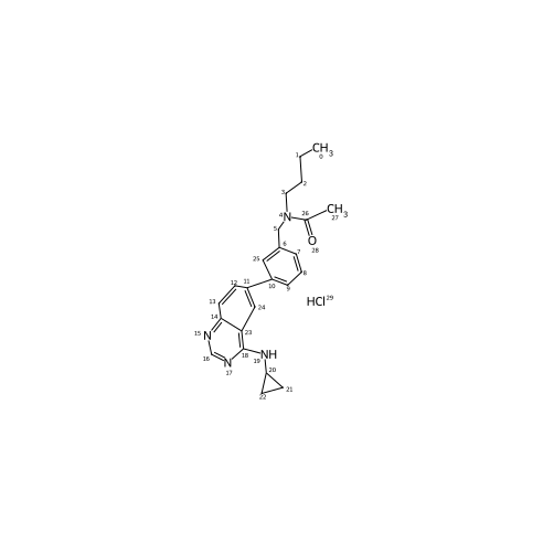 CCCCN(Cc1cccc(-c2ccc3ncnc(NC4CC4)c3c2)c1)C(C)=O.Cl